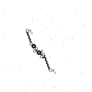 CCCCCCCCCOc1ccc(OC(=O)c2ccc(C3OCC(CCCCCCCCC)CO3)c(F)c2)cc1